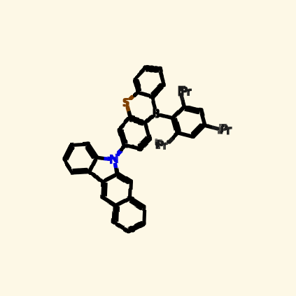 CC(C)c1cc(C(C)C)c(B2c3ccccc3Sc3cc(-n4c5ccccc5c5cc6ccccc6cc54)ccc32)c(C(C)C)c1